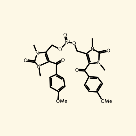 COc1ccc(C(=O)c2c(CO[N+](=O)OCc3c(C(=O)c4ccc(OC)cc4)n(C)c(=O)n3C)n(C)c(=O)n2C)cc1